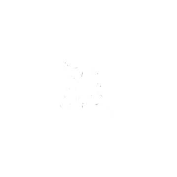 O=C(Oc1ccccc1OC(=O)c1cc(B(O)O)cc([N+](=O)[O-])c1)c1cc(B(O)O)cc([N+](=O)[O-])c1